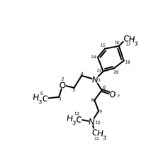 CCOCCN(C(=O)CCN(C)C)c1ccc(C)cc1